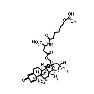 CC1(C)O[C@@H]2C[C@H]3[C@@H]4CCC5=CC(=O)C=C[C@]5(C)[C@@]4(F)[C@@H](O)C[C@]3(C)[C@]2(C(=O)COC(=O)CC(NC(=O)CCCCCON(O)O)C(=O)O)O1